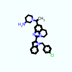 C=C(c1cc2c3c(c1)nc(-c1cc4ccccc4n1Cc1ccc(Cl)cc1)n3CCC2)N1CCCC(N)C1